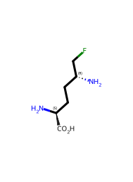 N[C@@H](CF)CC[C@H](N)C(=O)O